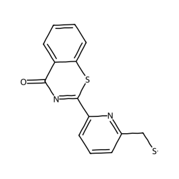 O=c1nc(-c2cccc(C[S])n2)sc2ccccc12